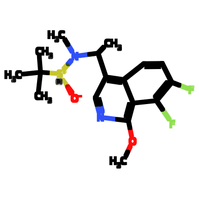 COc1ncc(C(C)N(C)[S@@+]([O-])C(C)(C)C)c2ccc(F)c(F)c12